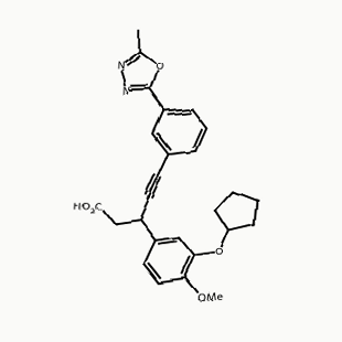 COc1ccc(C(C#Cc2cccc(-c3nnc(C)o3)c2)CC(=O)O)cc1OC1CCCC1